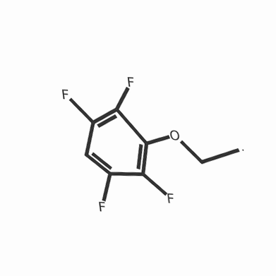 [CH2]COc1c(F)c(F)cc(F)c1F